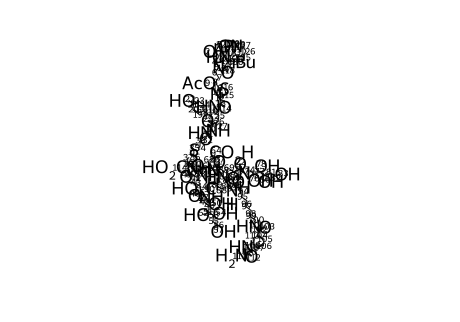 CCCC(=O)OCN(CC[C@@H](OC(C)=O)c1nc(C(=O)N[C@@H](Cc2ccc(O)cc2)C[C@H](C)C(=O)NNOCCSSC[C@H](NC(=O)[C@H](CCC(=O)NC[C@@H](O)[C@H](O)[C@@H](O)CCO)NC(=O)[C@H](CCC(=O)O)NC(=O)[C@H](CCC(=O)NC[C@@H](O)[C@H](O)[C@@H](O)CCO)NC(=O)[C@H](CCC(=O)O)NC(=O)CCCCCCCNC(=O)c2cccc(NC(N)=O)c2)C(=O)O)cs1)C(=O)[C@@H](NC(=O)[C@H]1CCCCN1C)C(C)CC